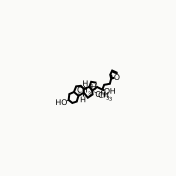 C[C@]12CC[C@H]3[C@@H](CCC4C[C@@H](O)CC[C@@]43C)[C@@H]1CC[C@@H]2[C@](C)(O)CCc1ccco1